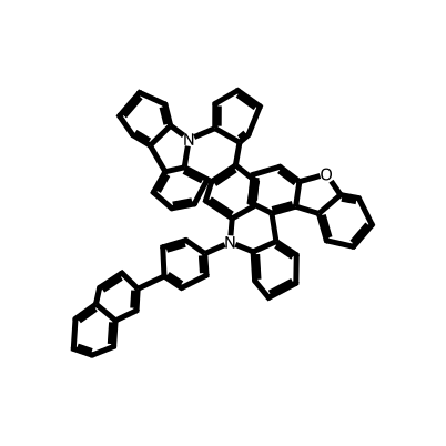 c1ccc(N(c2ccc(-c3ccc4ccccc4c3)cc2)c2ccc(-c3ccccc3-n3c4ccccc4c4ccccc43)cc2)c(-c2cccc3oc4ccccc4c23)c1